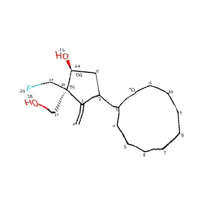 C=C1C(C2CCCCCCCCC2)C[C@H](O)[C@]1(CO)CF